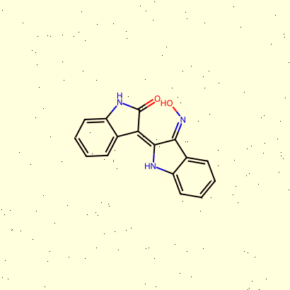 O=C1Nc2ccccc2/C1=C1\Nc2ccccc2\C1=N\O